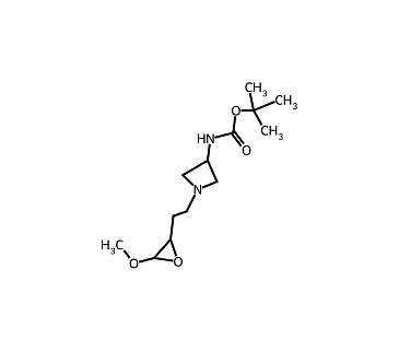 COC1OC1CCN1CC(NC(=O)OC(C)(C)C)C1